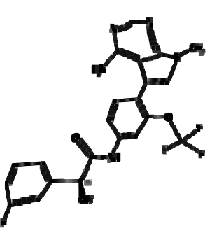 Cn1cc(-c2ccc(NC(=O)[C@@H](O)c3cccc(F)c3)cc2OC(F)(F)F)c2c(N)ncnc21